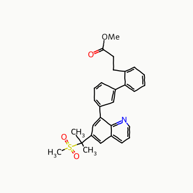 COC(=O)CCc1ccccc1-c1cccc(-c2cc(C(C)(C)S(C)(=O)=O)cc3cccnc23)c1